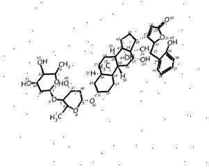 CC1O[C@@H](OC2C(C)O[C@@H](O[C@H]3CC[C@@]4(C)[C@H](CC[C@@H]5[C@@H]4C[C@@H](O)[C@]4(C)[C@@H](C6=CC(=O)OC6Cc6ccccc6O)CC[C@]54O)C3)C[C@H]2O)C[C@@H](O)C1O